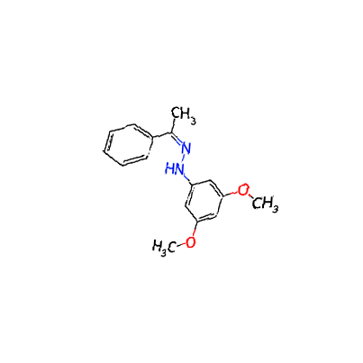 COc1cc(NN=C(C)c2ccccc2)cc(OC)c1